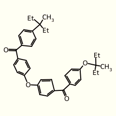 CCC(C)(CC)Oc1ccc(C(=O)c2ccc(Oc3ccc(C(=O)c4ccc(C(C)(CC)CC)cc4)cc3)cc2)cc1